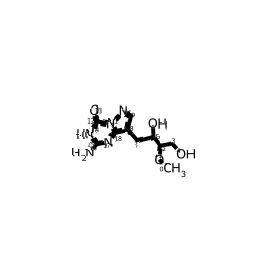 COC(CO)C(O)Cc1cnn2c(=O)[nH]c(N)nc12